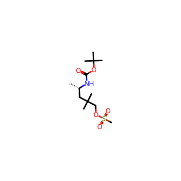 [CH2][C@@H](CC(C)(C)COS(C)(=O)=O)NC(=O)OC(C)(C)C